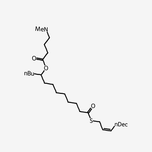 CCCCCCCCCC/C=C\CSC(=O)CCCCCCCC(CCCC)OC(=O)CCCNC